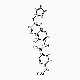 CCCCSc1ccc(C(=O)Nc2ccc3cc(Cn4cccc4)cnc3c2C)cc1